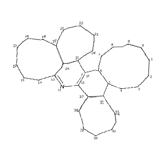 C1CCCCC2C(CCC1)C1=C(N=C3CCCCCCC4CCCCC1C34)C1CCCCCC12